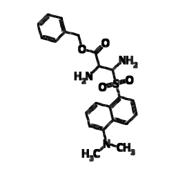 CN(C)c1cccc2c(S(=O)(=O)C(N)C(N)C(=O)OCc3ccccc3)cccc12